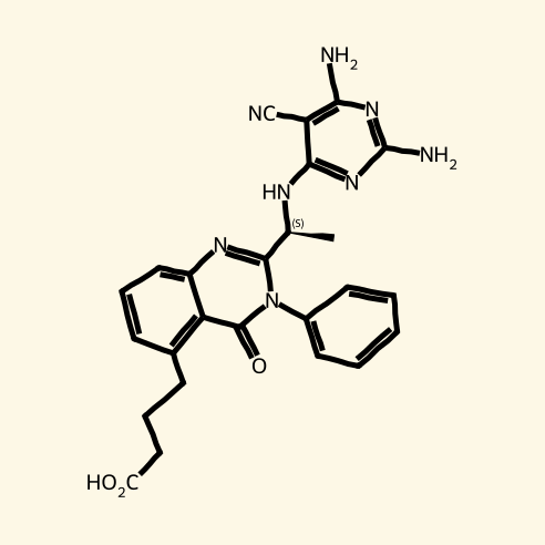 C[C@H](Nc1nc(N)nc(N)c1C#N)c1nc2cccc(CCCC(=O)O)c2c(=O)n1-c1ccccc1